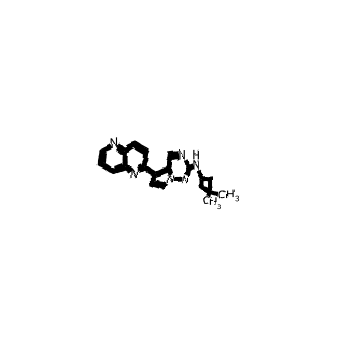 CC1(C)CC(Nc2ncc3c(-c4ccc5ncccc5n4)ccn3n2)C1